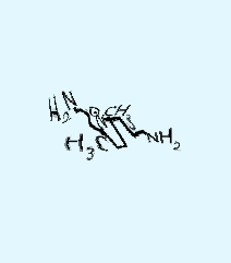 CC1(CCCN)CCC(C)(CCCN)N1[O]